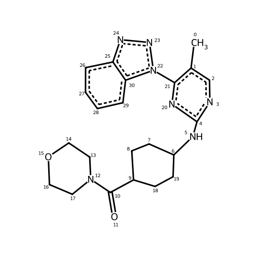 Cc1cnc(NC2CCC(C(=O)N3CCOCC3)CC2)nc1-n1nnc2ccccc21